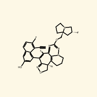 C#Cc1c(F)ccc2cc(O)cc(C3=C(F)C4=NC(OC[C@@]56CCCN5C[C@H](F)C6)=NN5CCCC(=C45)[C@H]4CON=C34)c12